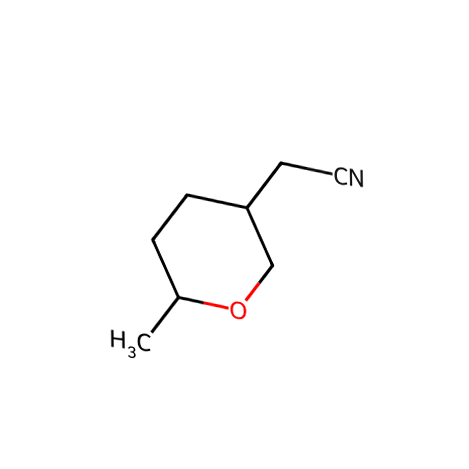 CC1CCC(CC#N)CO1